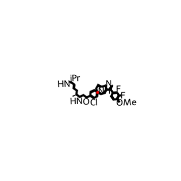 COc1ccc(C2=CN=C3/C(Nc4ccc(C(=O)CC(=N)[C@@H](C)C/C=C/C(=N)C(C)C)c(Cl)c4)=C/C/C=C\C=C\23)c(F)c1F